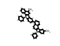 Cc1ccc2c(c1)c1c3cccc(-c4ccc5c(c4)c4cc(C)c6ccccc6c4n5-c4ccccc4)c3ccc1n2-c1ccccc1